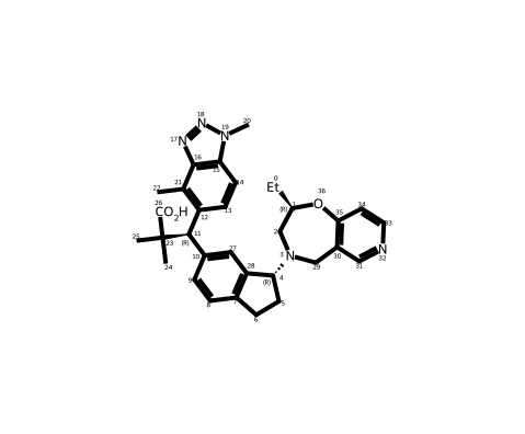 CC[C@@H]1CN([C@@H]2CCc3ccc([C@H](c4ccc5c(nnn5C)c4C)C(C)(C)C(=O)O)cc32)Cc2cnccc2O1